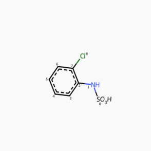 O=S(=O)(O)Nc1ccccc1Cl